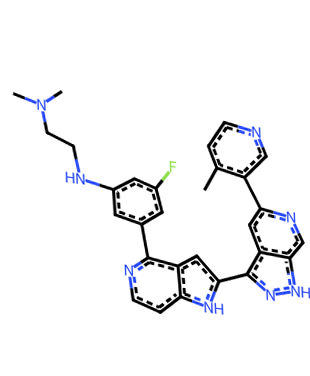 Cc1ccncc1-c1cc2c(-c3cc4c(-c5cc(F)cc(NCCN(C)C)c5)nccc4[nH]3)n[nH]c2cn1